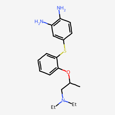 CCN(CC)CC(C)Oc1ccccc1Sc1ccc(N)c(N)c1